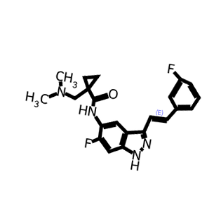 CN(C)CC1(C(=O)Nc2cc3c(/C=C/c4cccc(F)c4)n[nH]c3cc2F)CC1